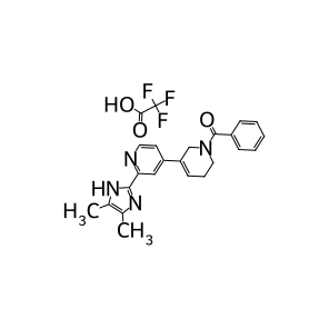 Cc1nc(-c2cc(C3=CCCN(C(=O)c4ccccc4)C3)ccn2)[nH]c1C.O=C(O)C(F)(F)F